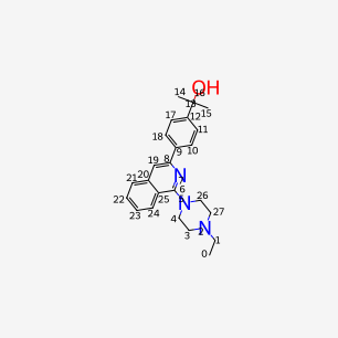 CCN1CCN(c2nc(-c3ccc(C(C)(C)O)cc3)cc3ccccc23)CC1